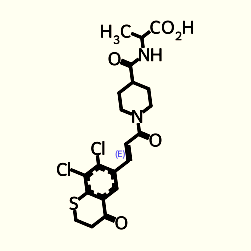 CC(NC(=O)C1CCN(C(=O)/C=C/c2cc3c(c(Cl)c2Cl)SCCC3=O)CC1)C(=O)O